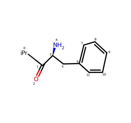 CC(C)C(=O)[C@@H](N)Cc1ccccc1